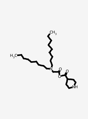 CCCCCCCCCN(CCCCCCCCC)CC(=O)OC(=O)C1CCNCC1